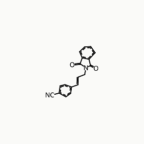 N#Cc1ccc(/C=C/CN2C(=O)c3ccccc3C2=O)cc1